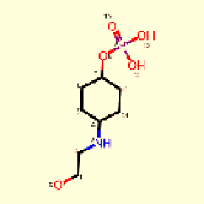 [O]CCNC1CCC(OP(=O)(O)O)CC1